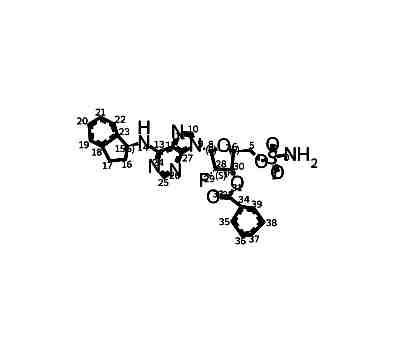 NS(=O)(=O)OC[C@@H]1O[C@@H](n2cnc3c(N[C@H]4CCc5ccccc54)ncnc32)[C@@H](F)[C@@H]1OC(=O)c1ccccc1